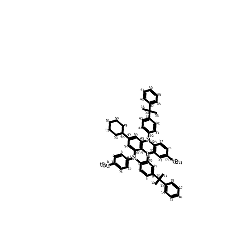 CC(C)(C)c1ccc(N2c3ccc(C(C)(C)c4ccccc4)cc3B3c4cc(C(C)(C)C)ccc4N(c4ccc(C(C)(C)c5ccccc5)cc4)c4cc(C5CCCCC5)cc2c43)cc1